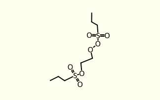 CCCS(=O)(=O)OCCOOS(=O)(=O)CCC